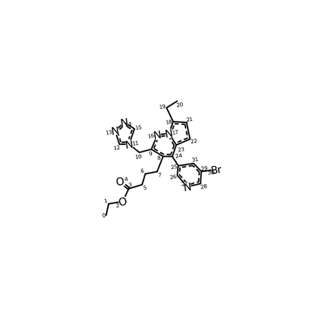 CCOC(=O)CCCc1c(Cn2cnnc2)nn2c(CC)ccc2c1-c1cncc(Br)c1